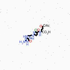 CC(=O)OC(=O)CC[C@H](NC(=O)c1ccc(NCC2CNc3nc(N)[nH]c(=O)c3N2C)nc1Cl)C(=O)O